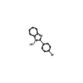 CCCn1c(-c2ccc(Br)cc2)nc2ccccc21